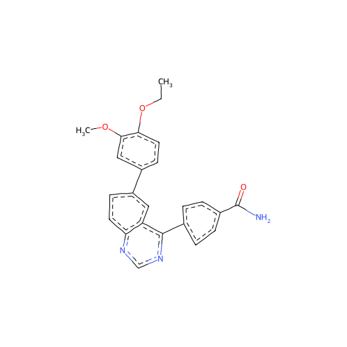 CCOc1ccc(-c2ccc3ncnc(-c4ccc(C(N)=O)cc4)c3c2)cc1OC